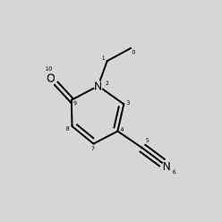 CCn1cc(C#N)ccc1=O